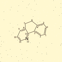 c1ccc2c(c1)CCc1cccnc1-2